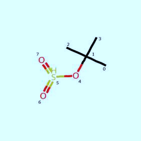 CC(C)(C)O[SH](=O)=O